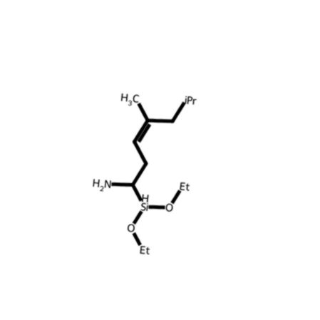 CCO[SiH](OCC)C(N)CC=C(C)CC(C)C